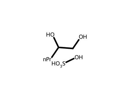 CCCC(O)CO.O=S(=O)(O)O